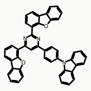 c1ccc2c(c1)oc1c(-c3cc(-c4ccc(-n5c6ccccc6c6ccccc65)cc4)nc(-c4cccc5c4oc4ccccc45)n3)cccc12